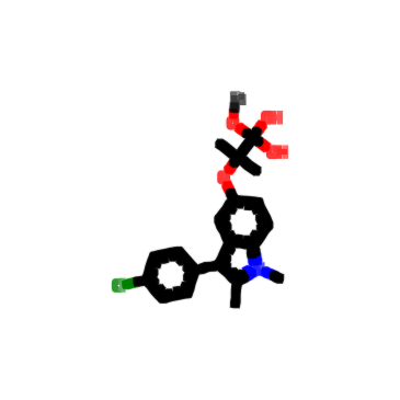 CCOC(O)(O)C(C)(C)Oc1ccc2c(c1)c(-c1ccc(Cl)cc1)c(C)n2C